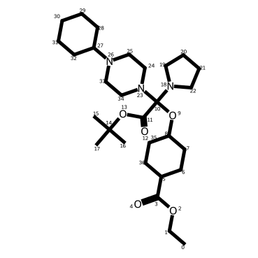 CCOC(=O)C1CCC(OC(C(=O)OC(C)(C)C)(N2CCCC2)N2CCN(C3CCCCC3)CC2)CC1